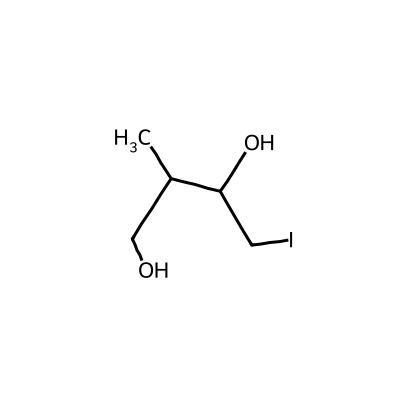 CC(CO)C(O)CI